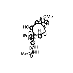 CCn1c(-c2cnccc2COC)c2c3cc(ccc31)-c1cc(O)cc(c1)C[C@H](NC(=O)[C@H](C(C)C)N(C)C(=O)c1ccc(NC(=O)[C@@H]3N[C@@H]3C(=O)OC)cn1)C(=O)N1CCC[C@H](N1)C(=O)OCC(C)(C)C2